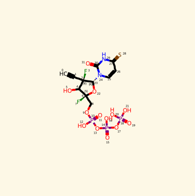 C#C[C@@]1(F)C(O)[C@@](F)(COP(=O)(O)OP(=O)(O)OP(=O)(O)O)O[C@H]1n1ccc(=S)[nH]c1=O